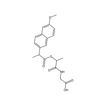 COc1ccc2cc(C(C)C(=O)SC(C)C(=O)NCC(=O)O)ccc2c1